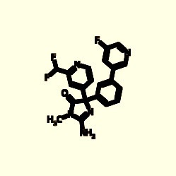 CN1C(=O)C(c2cccc(-c3cncc(F)c3)c2)(c2ccnc(C(F)F)c2)N=C1N